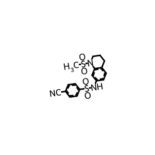 CS(=O)(=O)N1CCCc2ccc(NS(=O)(=O)c3ccc(C#N)cc3)cc21